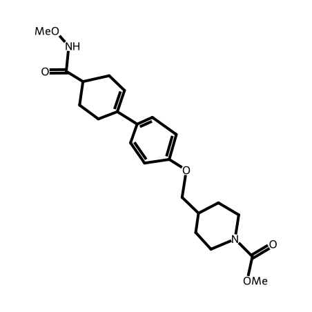 CONC(=O)C1CC=C(c2ccc(OCC3CCN(C(=O)OC)CC3)cc2)CC1